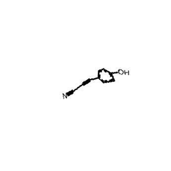 N#CC#Cc1ccc(O)cc1